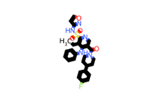 CCc1c(S(=O)(=O)Nc2ccon2)ncc(C(=O)N2CCC(c3ccc(F)cc3)CC2)c1Nc1ccccc1